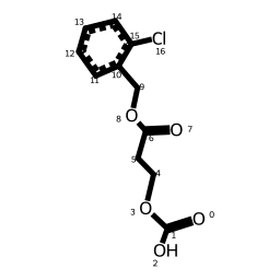 O=C(O)OCCC(=O)OCc1ccccc1Cl